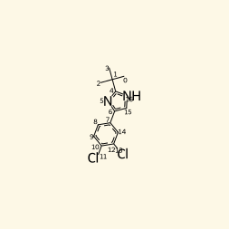 CC(C)(C)c1nc(-c2ccc(Cl)c(Cl)c2)c[nH]1